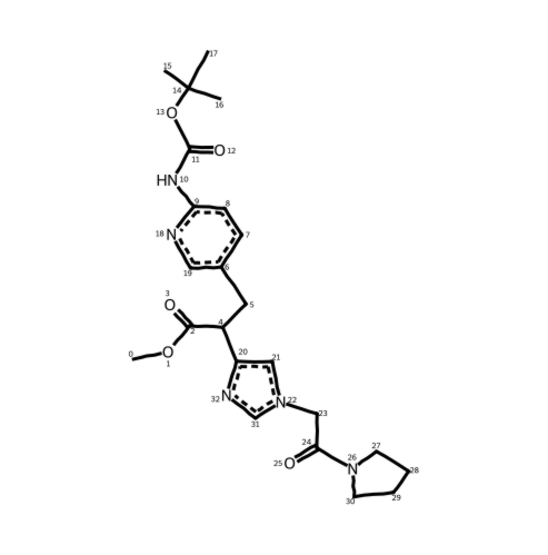 COC(=O)C(Cc1ccc(NC(=O)OC(C)(C)C)nc1)c1cn(CC(=O)N2CCCC2)cn1